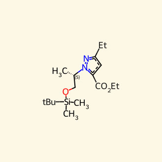 CCOC(=O)c1cc(CC)nn1[C@@H](C)CO[Si](C)(C)C(C)(C)C